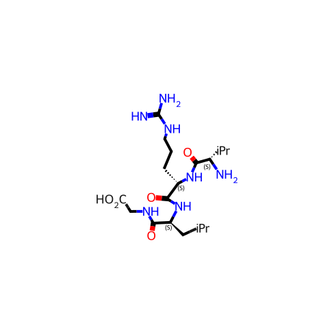 CC(C)C[C@H](NC(=O)[C@H](CCCNC(=N)N)NC(=O)[C@@H](N)C(C)C)C(=O)NCC(=O)O